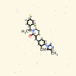 COc1cc(C=C2CCCN([C@@H](C)c3ccc(F)cc3F)C2=O)ccc1-n1cnc(C)c1